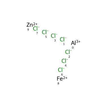 [Al+3].[Cl-].[Cl-].[Cl-].[Cl-].[Cl-].[Cl-].[Cl-].[Fe+2].[Zn+2]